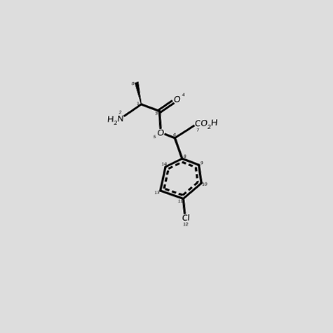 C[C@H](N)C(=O)OC(C(=O)O)c1ccc(Cl)cc1